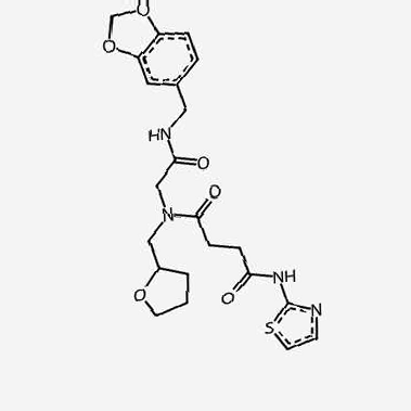 O=C(CN(CC1CCCO1)C(=O)CCC(=O)Nc1nccs1)NCc1ccc2c(c1)OCO2